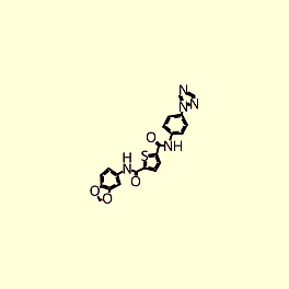 O=C(Nc1ccc(-n2cncn2)cc1)c1ccc(C(=O)Nc2ccc3c(c2)OCO3)s1